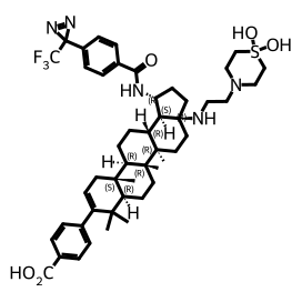 CC1(C)C(c2ccc(C(=O)O)cc2)=CC[C@]2(C)[C@H]3CC[C@@H]4[C@H]5[C@H](NC(=O)c6ccc(C7(C(F)(F)F)N=N7)cc6)CC[C@]5(NCCN5CCS(O)(O)CC5)CC[C@@]4(C)[C@]3(C)CC[C@@H]12